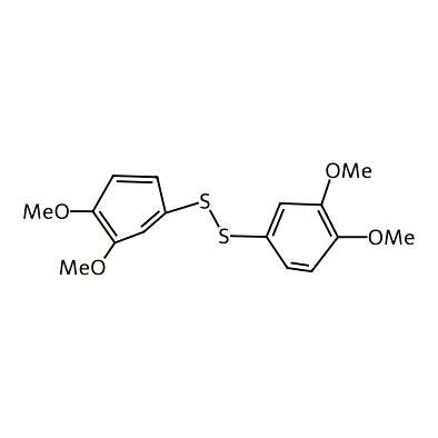 COc1ccc(SSc2ccc(OC)c(OC)c2)cc1OC